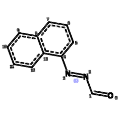 O=C/N=N/c1cccc2ccccc12